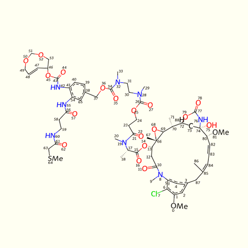 COc1cc2cc(c1Cl)N(C)C(=O)C[C@H](OC(=O)[C@H](C)N(C)C(=O)CCOC(=O)N(C)CCN(C)C(=O)OCc1ccc(NC(=O)OC3/C=C/COCOC3)c(NC(=O)CCNC(=O)CSC)c1)[C@]1(C)OC1[C@H](C)[C@@H]1C[C@@](O)(NC(=O)O1)[C@H](OC)/C=C/C=C(\C)C2